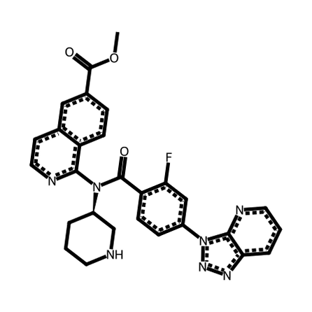 COC(=O)c1ccc2c(N(C(=O)c3ccc(-n4nnc5cccnc54)cc3F)[C@@H]3CCCNC3)nccc2c1